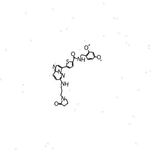 COc1ccc(CNC(=O)c2ccc(-c3cnc4ccc(NCCCN5CCCC5=O)nn34)s2)c(OC)c1